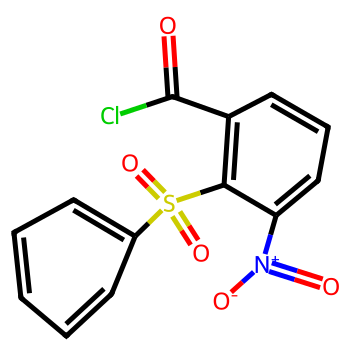 O=C(Cl)c1cccc([N+](=O)[O-])c1S(=O)(=O)c1ccccc1